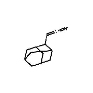 [N-]=[N+]=CC1C2CC3CC(C2)CC1C3